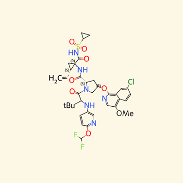 C=C[C@@H]1C[C@]1(NC(=O)[C@@H]1C[C@@H](Oc2ncc(OC)c3ccc(Cl)cc23)CN1C(=O)C(Nc1ccc(OC(F)F)nc1)C(C)(C)C)C(=O)NS(=O)(=O)C1CC1